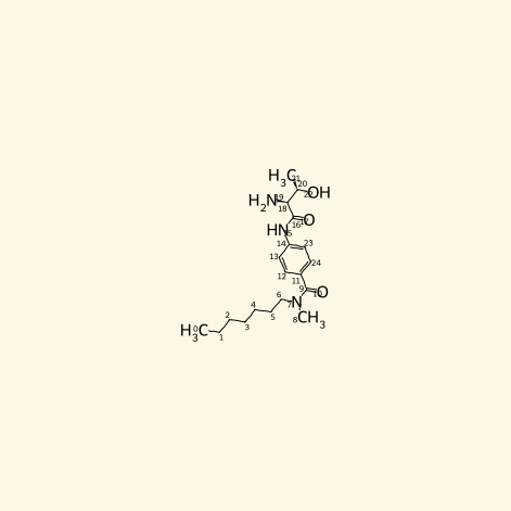 CCCCCCCN(C)C(=O)c1ccc(NC(=O)[C@@H](N)[C@@H](C)O)cc1